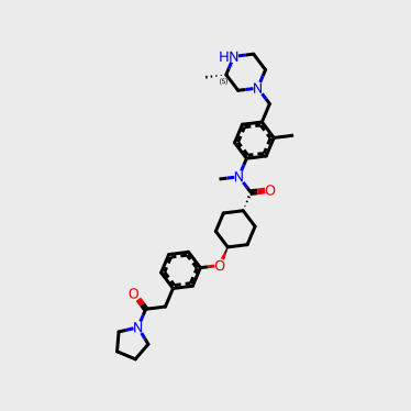 Cc1cc(N(C)C(=O)[C@H]2CC[C@H](Oc3cccc(CC(=O)N4CCCC4)c3)CC2)ccc1CN1CCN[C@@H](C)C1